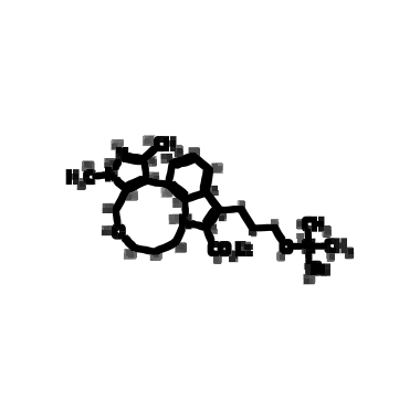 CCOC(=O)c1c(CCCO[Si](C)(C)C(C)(C)C)c2cccc3c2n1CCCOCc1c-3c(C)nn1C